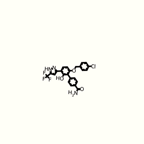 NC(=O)c1ccc(-c2c(OCc3ccc(Cl)cc3)ccc(-c3cc(C(F)(F)F)[nH]n3)c2O)cc1